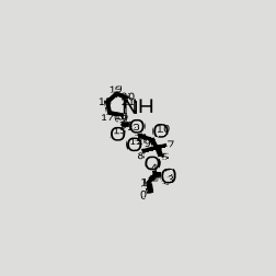 C=CC(=O)OCC(C)(C)C(=O)C(=O)OC(=O)[C@@H]1CCCCN1